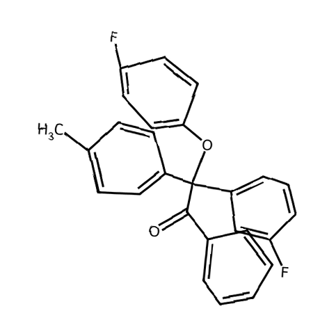 Cc1ccc(C(Oc2ccc(F)cc2)(C(=O)c2ccccc2)c2cccc(F)c2)cc1